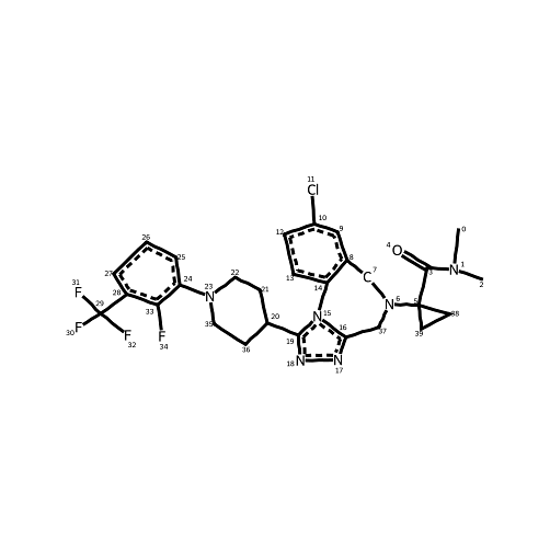 CN(C)C(=O)C1(N2Cc3cc(Cl)ccc3-n3c(nnc3C3CCN(c4cccc(C(F)(F)F)c4F)CC3)C2)CC1